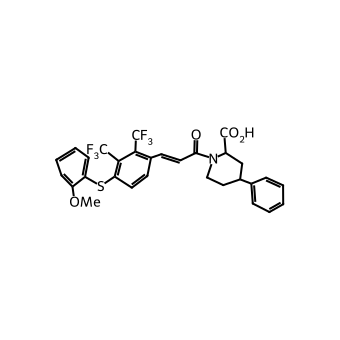 COc1ccccc1Sc1ccc(C=CC(=O)N2CCC(c3ccccc3)CC2C(=O)O)c(C(F)(F)F)c1C(F)(F)F